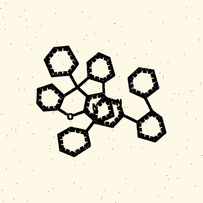 c1ccc(-c2cc(-c3ccccc3-c3ccccc3)nc(-c3ccccc3C3(c4ccccc4)c4ccccc4Oc4ccccc43)n2)cc1